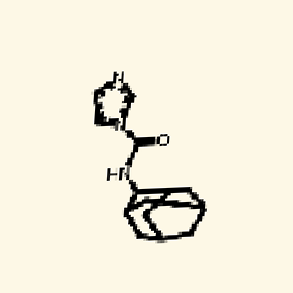 O=C(NC1C2CC3CC(C2)CC1C3)n1ccnc1